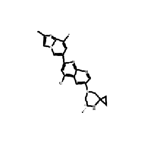 Cc1cn2cc(-c3cc(Cl)c4cc(N5C[C@@H](C)NC6(CC6)C5)cnc4n3)cc(F)c2n1